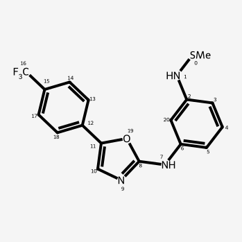 CSNc1cccc(Nc2ncc(-c3ccc(C(F)(F)F)cc3)o2)c1